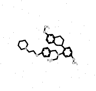 CCN(Cc1ccc(OCCN2CCCCC2)cc1)c1cc(OC)ccc1C1CCc2cc(OC)ccc2C1